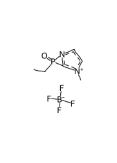 CCP1(=O)c2n1cc[n+]2C.F[B-](F)(F)F